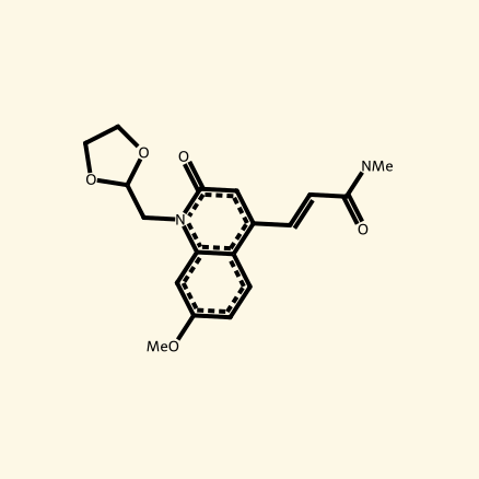 CNC(=O)C=Cc1cc(=O)n(CC2OCCO2)c2cc(OC)ccc12